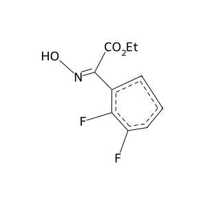 CCOC(=O)/C(=N\O)c1cccc(F)c1F